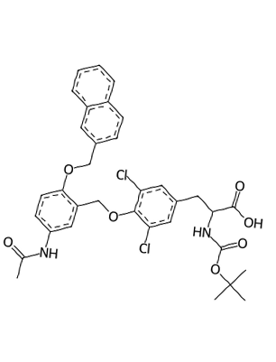 CC(=O)Nc1ccc(OCc2ccc3ccccc3c2)c(COc2c(Cl)cc(CC(NC(=O)OC(C)(C)C)C(=O)O)cc2Cl)c1